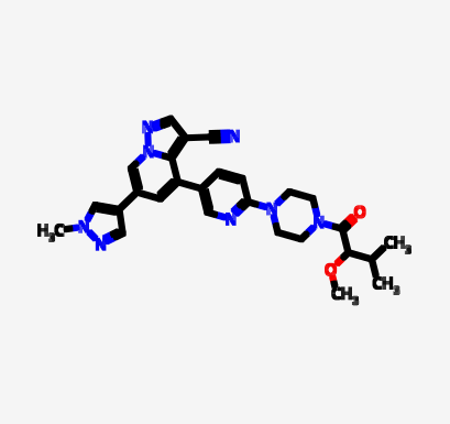 COC(C(=O)N1CCN(c2ccc(-c3cc(-c4cnn(C)c4)cn4ncc(C#N)c34)cn2)CC1)C(C)C